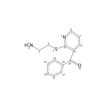 NCCSc1ncccc1C(=O)c1ccccc1